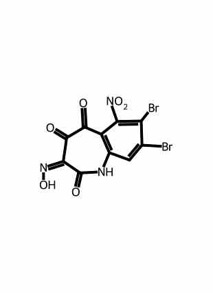 O=C1Nc2cc(Br)c(Br)c([N+](=O)[O-])c2C(=O)C(=O)/C1=N/O